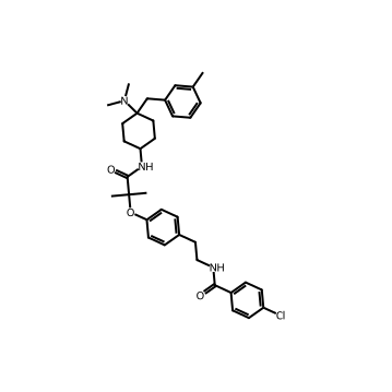 Cc1cccc(CC2(N(C)C)CCC(NC(=O)C(C)(C)Oc3ccc(CCNC(=O)c4ccc(Cl)cc4)cc3)CC2)c1